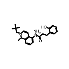 CC1c2cccc(N(N)C(=O)CCc3ccccc3O)c2C=CN1CC(C)(C)C